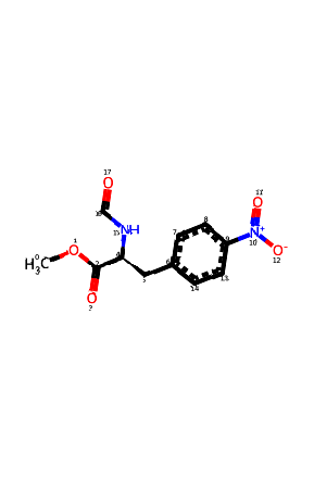 COC(=O)[C@H](Cc1ccc([N+](=O)[O-])cc1)NC=O